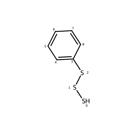 SSSc1ccccc1